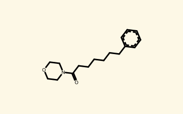 O=C(CCCCCCc1ccccc1)N1CCOCC1